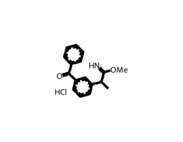 COC(=N)C(C)c1cccc(C(=O)c2ccccc2)c1.Cl